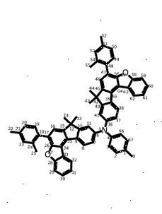 Cc1ccc(N(c2ccc3c(c2)C(C)(C)c2cc(-c4ccc(C)cc4C)c4oc5ccccc5c4c2-3)c2ccc3c(c2)C(C)(C)c2cc(-c4ccc(C)cc4C)c4oc5ccccc5c4c2-3)cc1